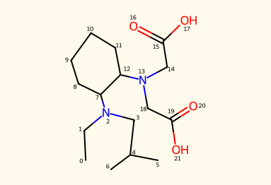 CCN(CC(C)C)C1CCCCC1N(CC(=O)O)CC(=O)O